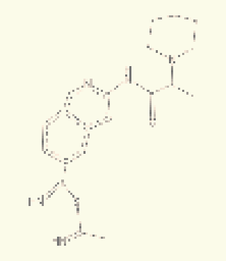 CC(=N)SC(=N)c1ccc2cnc(NC(=O)C(C)N3CCCCC3)cc2c1